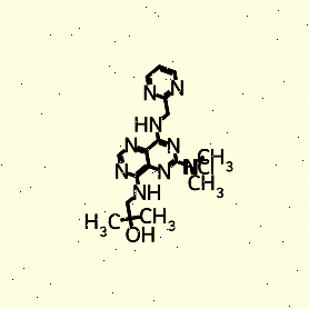 CN(C)c1nc(NCc2ncccn2)c2ncnc(NCC(C)(C)O)c2n1.Cl